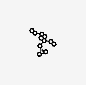 c1cc(-c2cc(-c3ccc4ccccc4c3)c3ccc4ccc(-c5ccc6ccccc6c5)c5ccc2c3c45)cc(-n2c3ccccc3c3ccccc32)c1